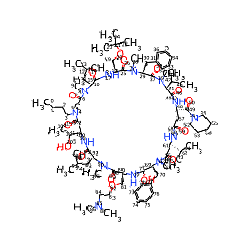 CCCCN1CC(=O)N(C)[C@@H](CC(C)C)C(=O)N[C@@H](COC(C)(C)C)C(=O)N(C)[C@@H](Cc2ccccc2)C(=O)N(C)[C@@H](C(C)C)C(=O)N[C@H](C(=O)N2CCCCC2)CC(=O)N[C@H](C(C)C)C(=O)N(C)[C@@H](Cc2ccccc2)C(O)N[C@@H](COCCN(C)C)C(=O)N(C)[C@@H](CC(C)C)C(=O)N[C@@H]([C@@H](C)O)C1=O